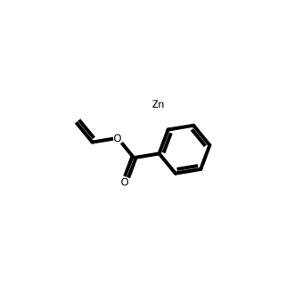 C=COC(=O)c1ccccc1.[Zn]